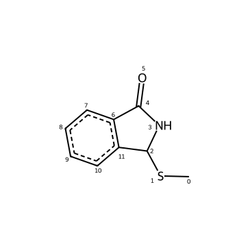 CSC1NC(=O)c2ccccc21